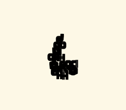 CCOC(=O)ON1CCC(NC(=O)c2ccc(Cl)c(NC(=O)NC(=O)c3ccccc3Cl)c2)CC1